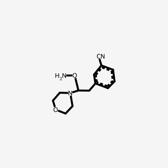 N#Cc1cccc(CC(ON)N2CCOCC2)c1